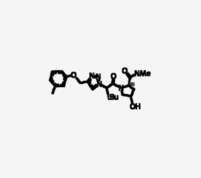 CNC(=O)[C@H]1CC(O)CN1C(=O)C(n1cc(COc2cccc(C)c2)nn1)C(C)(C)C